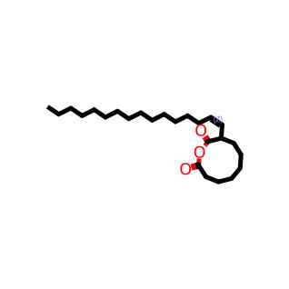 CCCCCCCCCCCCCC/C=C\C1CCCCCCC(=O)OC1=O